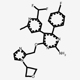 Cc1cc(-c2c(OCc3nccn3C3COC3)nc(N)nc2-c2ccc(F)cc2)cc(C(F)F)n1